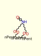 CCCCCC(CCCCC)CCOC(=O)CCCCCC(CCCCCC(=O)OCCC(CCCCC)CCCCC)NC1CC2(COC2)C1